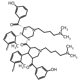 Cc1c(F)cccc1C1C(C(=O)c2cccc(O)c2)CN(CCCCN(C)C)CC1C(=O)[C@H]1CN(CCCCN(C)C)C[C@@H](C(=O)c2cccc(O)c2)[C@H]1c1cccc(F)c1C